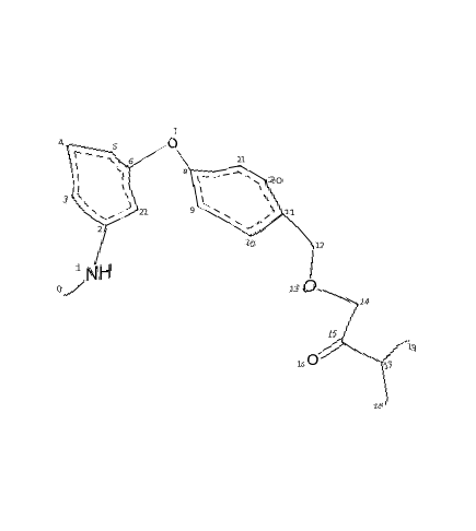 CNc1cccc(Oc2ccc(COCC(=O)C(C)C)cc2)c1